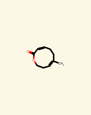 CC1=CCCOC(=O)C=CCC1